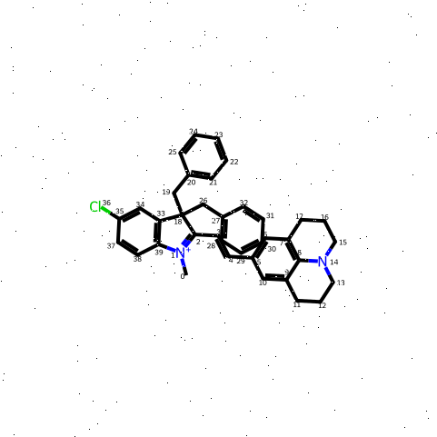 C[N+]1=C(/C=C/c2cc3c4c(c2)CCCN4CCC3)C(Cc2ccccc2)(Cc2ccccc2)c2cc(Cl)ccc21